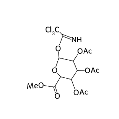 COC(=O)C1OC(OC(=N)C(Cl)(Cl)Cl)C(OC(C)=O)C(OC(C)=O)C1OC(C)=O